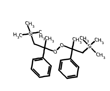 CC(C[Si](C)(C)C)(OOC(C)(C[Si](C)(C)C)c1ccccc1)c1ccccc1